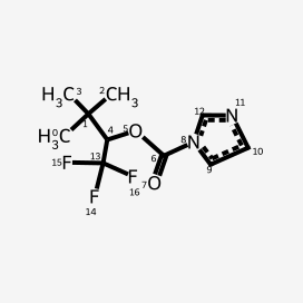 CC(C)(C)C(OC(=O)n1ccnc1)C(F)(F)F